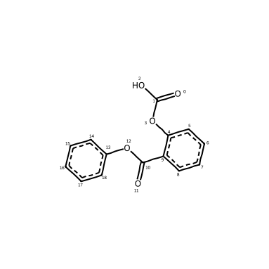 O=C(O)Oc1ccccc1C(=O)Oc1ccccc1